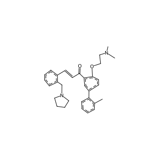 Cc1ccccc1-c1ccc(OCCN(C)C)c(C(=O)C=Cc2ccccc2CN2CCCC2)c1